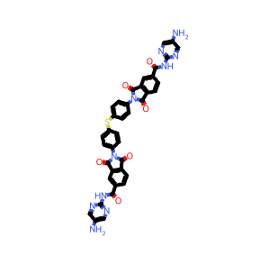 Nc1cnc(NC(=O)c2ccc3c(c2)C(=O)N(c2ccc(Sc4ccc(N5C(=O)c6ccc(C(=O)Nc7ncc(N)cn7)cc6C5=O)cc4)cc2)C3=O)nc1